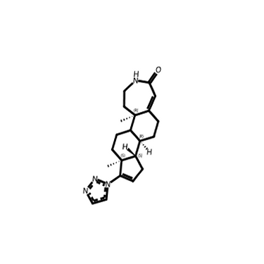 C[C@]12CCNC(=O)C=C1CC[C@@H]1C2CC[C@]2(C)C(n3ccnn3)=CC[C@@H]12